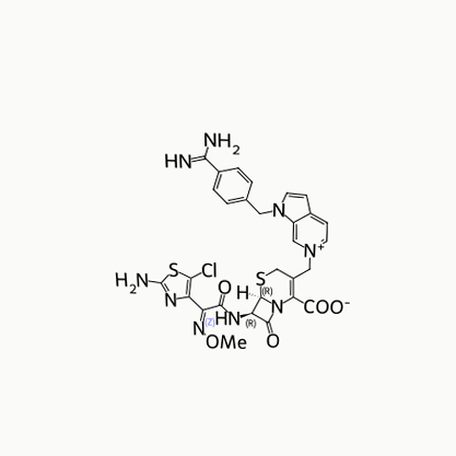 CO/N=C(\C(=O)N[C@@H]1C(=O)N2C(C(=O)[O-])=C(C[n+]3ccc4ccn(Cc5ccc(C(=N)N)cc5)c4c3)CS[C@H]12)c1nc(N)sc1Cl